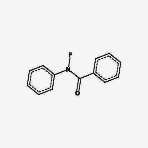 O=C(c1ccccc1)N(F)c1ccccc1